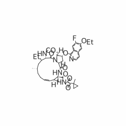 CCOc1cc2ccnc(O[C@@H]3C[C@H]4C(=O)N[C@]5(C(=O)NS(=O)(=O)C6(C)CC6)C[C@H]5C=CCC[C@H](C)C[C@@H](CC)[C@H](NC(=O)O)C(=O)N4C3)c2cc1F